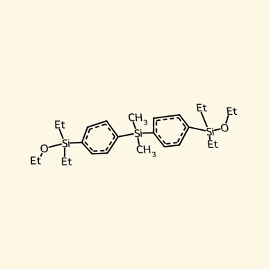 CCO[Si](CC)(CC)c1ccc([Si](C)(C)c2ccc([Si](CC)(CC)OCC)cc2)cc1